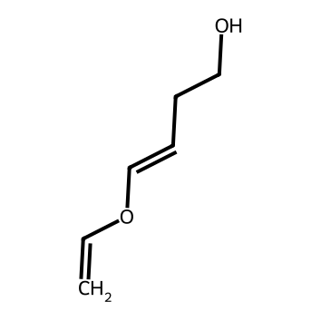 C=COC=CCCO